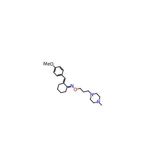 COc1ccc(C=C2CCCCC2=NOCCCN2CCN(C)CC2)cc1